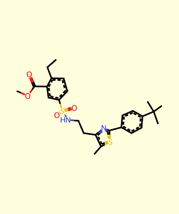 CCc1ccc(S(=O)(=O)NCCc2nc(-c3ccc(C(C)(C)C)cc3)sc2C)cc1C(=O)OC